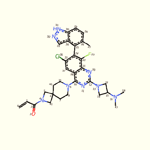 C=CC(=O)N1CC2(CCN(c3nc(N4CC(N(C)C)C4)nc4c(F)c(-c5c(C)ccc6[nH]ncc56)c(Cl)cc34)CC2)C1